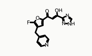 O=C(C=C(O)c1nc[nH]n1)c1cc(Cc2ccncc2)c(F)o1